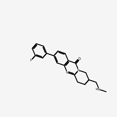 CNCC1CCc2nc3cc(-c4cccc(F)c4)ccc3c(=O)n2C1